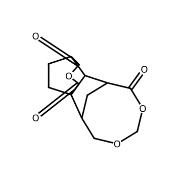 O=C1OCOCC2CC1C1C3CCC21C(=O)OC3=O